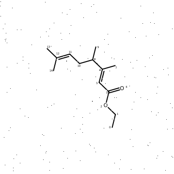 CCOC(=O)/C=C(\C)C(C)CC=C(C)C